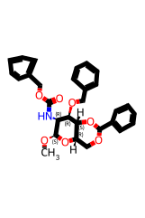 CO[C@H]1O[C@@H]2COC(c3ccccc3)O[C@H]2[C@H](OCc2ccccc2)[C@H]1NC(=O)OCc1ccccc1